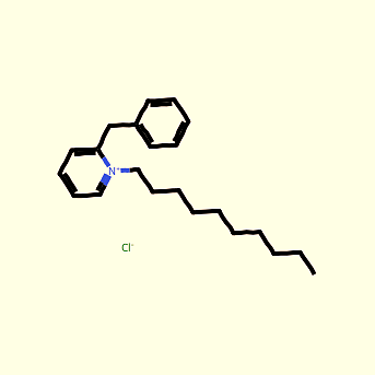 CCCCCCCCCC[n+]1ccccc1Cc1ccccc1.[Cl-]